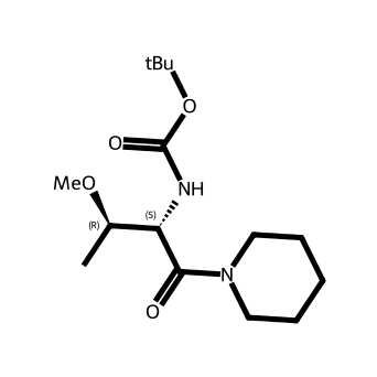 CO[C@H](C)[C@H](NC(=O)OC(C)(C)C)C(=O)N1CCCCC1